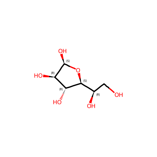 OC[C@@H](O)[C@@H]1O[C@H](O)[C@H](O)[C@H]1O